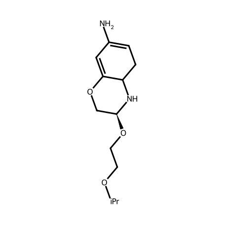 CC(C)OCCO[C@H]1COC2=CC(N)=CCC2N1